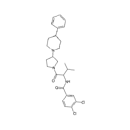 CC(C)C(NC(=O)c1ccc(Cl)c(Cl)c1)C(=O)N1CCC(N2CCC(c3ccccc3)CC2)C1